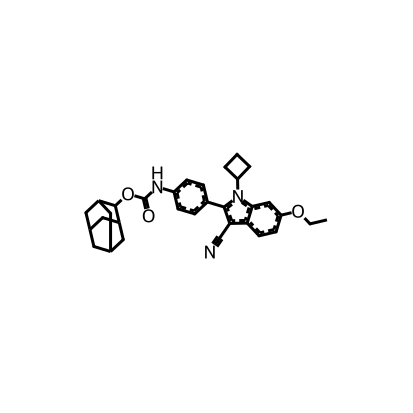 CCOc1ccc2c(C#N)c(-c3ccc(NC(=O)OC4C5CC6CC(C5)CC4C6)cc3)n(C3CCC3)c2c1